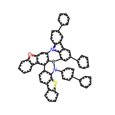 c1ccc(-c2ccc(N3B4c5c(cc6oc7ccccc7c6c5-c5ccc6c(sc7ccccc76)c53)-n3c5ccc(-c6ccccc6)cc5c5cc(-c6ccccc6)cc4c53)cc2)cc1